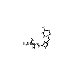 CC(C)N1CCN(Cc2ccc(C=NNC(N)=S)o2)CC1